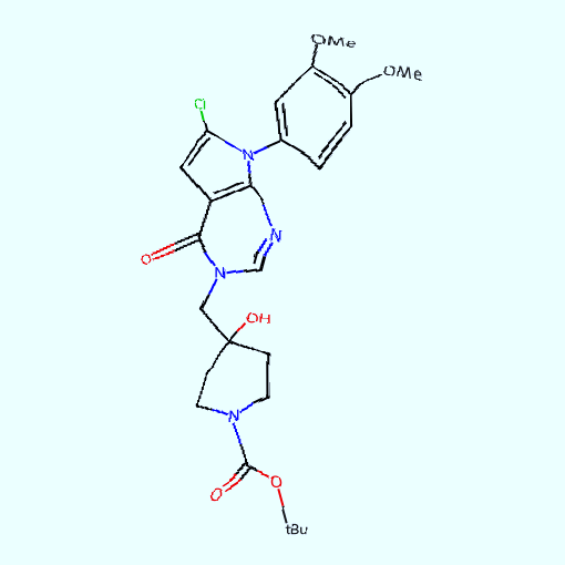 COc1ccc(-n2c(Cl)cc3c(=O)n(CC4(O)CCN(C(=O)OC(C)(C)C)CC4)cnc32)cc1OC